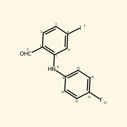 O=Cc1ccc(I)cc1Nc1ccc(F)cc1